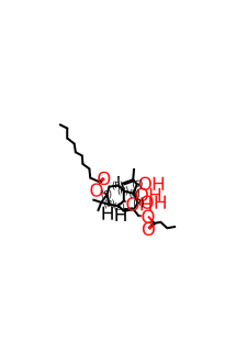 CCCCCCCCCC(=O)O[C@@]12C[C@@H](C)[C@]34C=C(C)[C@H](O)[C@@]3(O)[C@H](O)C(COC(=O)CCC)=C[C@H](C4O)[C@@H]1C2(C)C